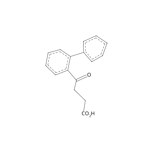 O=C(O)CCC(=O)c1ccccc1-c1ccccc1